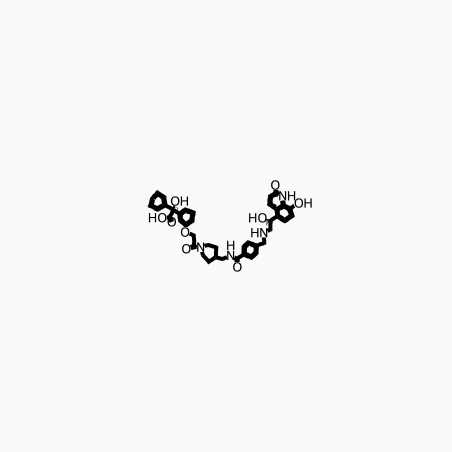 O=C(NCC1CCN(C(=O)COc2cccc([C@](O)(C(=O)O)c3ccccc3)c2)CC1)c1ccc(CNC[C@H](O)c2ccc(O)c3[nH]c(=O)ccc23)cc1